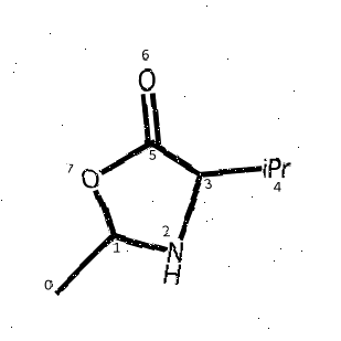 CC1NC(C(C)C)C(=O)O1